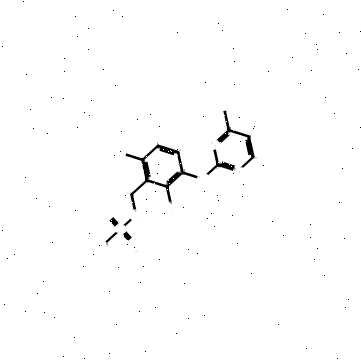 Cc1ccnc(Oc2ccc(Br)c(COS(C)(=O)=O)c2F)n1